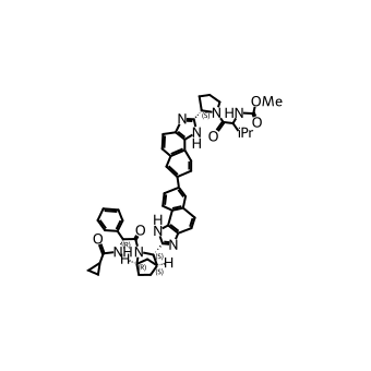 COC(=O)NC(C(=O)N1CCC[C@H]1c1nc2ccc3cc(-c4ccc5c(ccc6nc([C@@H]7[C@H]8CC[C@H](C8)N7C(=O)[C@H](NC(=O)C7CC7)c7ccccc7)[nH]c65)c4)ccc3c2[nH]1)C(C)C